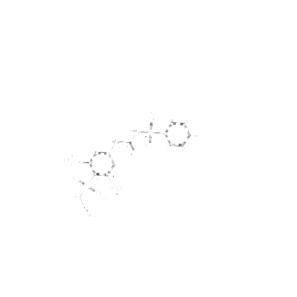 Cc1cc(NC(=O)NS(=O)(=O)c2ccccc2)cc(C)c1S(=O)(=O)C[N+](=O)[O-]